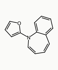 C1=Cc2ccccc2N(c2ccco2)C=C1